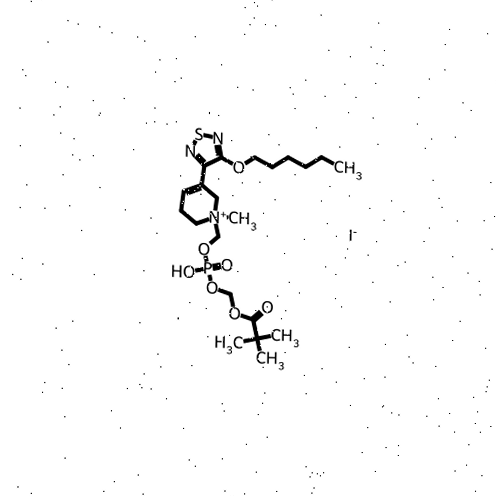 CCCCCCOc1nsnc1C1=CCC[N+](C)(COP(=O)(O)OCOC(=O)C(C)(C)C)C1.[I-]